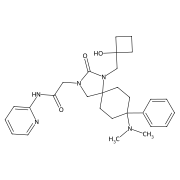 CN(C)C1(c2ccccc2)CCC2(CC1)CN(CC(=O)Nc1ccccn1)C(=O)N2CC1(O)CCC1